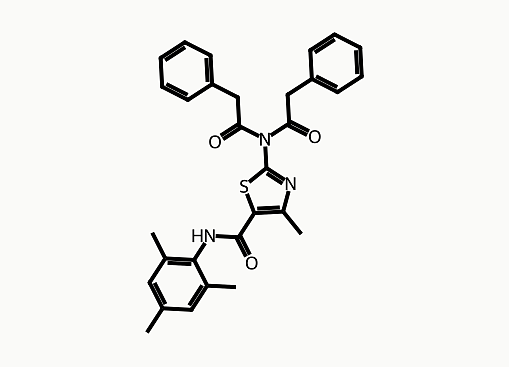 Cc1cc(C)c(NC(=O)c2sc(N(C(=O)Cc3ccccc3)C(=O)Cc3ccccc3)nc2C)c(C)c1